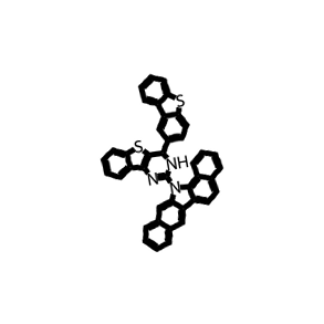 c1ccc2cc3c(cc2c1)c1ccc2ccccc2c1n3C1=Nc2c(sc3ccccc23)C(c2ccc3sc4ccccc4c3c2)N1